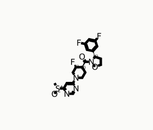 C[S+]([O-])c1cc(N2CC[C@H](C(=O)N3OCC[C@H]3c3cc(F)cc(F)c3)[C@H](F)C2)ncn1